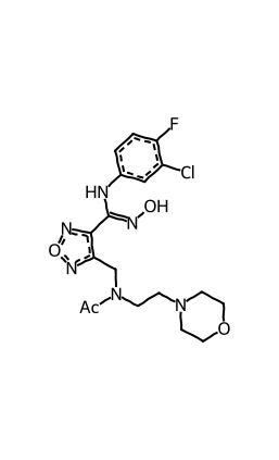 CC(=O)N(CCN1CCOCC1)Cc1nonc1C(=NO)Nc1ccc(F)c(Cl)c1